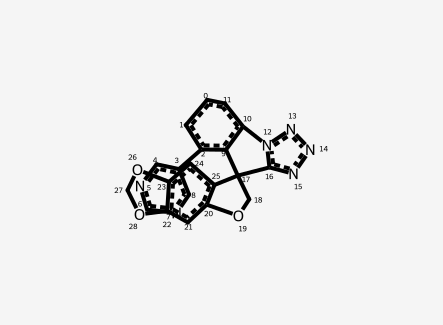 c1cc(-c2cncnc2)c2c(c1)-n1nnnc1C21COc2cc3c(cc21)OCO3